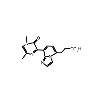 Cc1cn(C)c(=O)c(-c2ccc(CCC(=O)O)n3ccnc23)n1